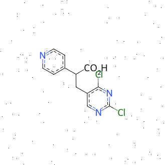 O=C(O)C(Cc1cnc(Cl)nc1Cl)c1ccncc1